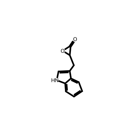 O=C1OC1Cc1c[nH]c2ccccc12